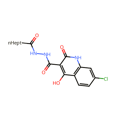 CCCCCCCC(=O)NNC(=O)c1c(O)c2ccc(Cl)cc2[nH]c1=O